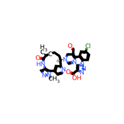 C[C@@H]1CCC[C@H](N2C=NC(c3cc(Cl)ccc3-n3cc(C(=O)O)nn3)=C(C=O)C2)c2cc(ccn2)-c2c(cnn2C)NC1=O